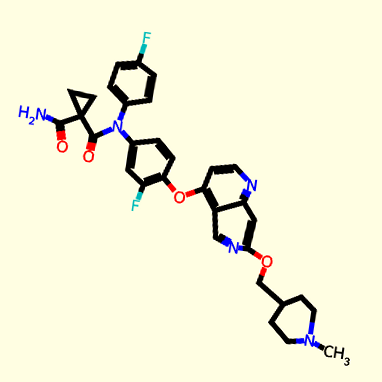 CN1CCC(COc2cc3nccc(Oc4ccc(N(C(=O)C5(C(N)=O)CC5)c5ccc(F)cc5)cc4F)c3cn2)CC1